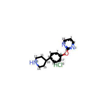 Cl.c1cnc(Oc2ccc(C3CCNCC3)cc2)nc1